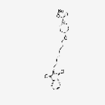 CC(C)(C)OC(=O)N1CCC(OCCCCCCCN2C(=O)c3ccccc3C2=O)CC1